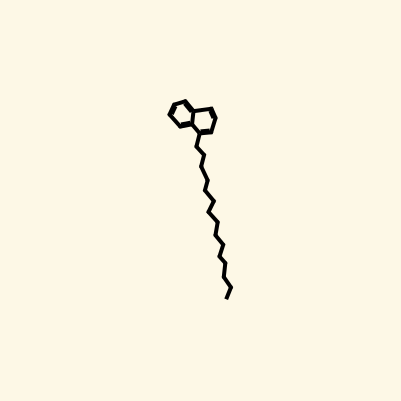 CCCCCCCCCCCCCCCc1cccc2ccccc12